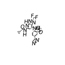 Cn1cncc1-c1ccc(Nc2cc(NC(=O)C3CC3)nc3[nH]c(C(F)F)nc23)c(S(C)(=O)=O)c1